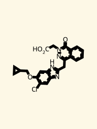 O=C(O)Cn1nc(Cc2nc3cc(Cl)c(OCC4CC4)cc3[nH]2)c2ccccc2c1=O